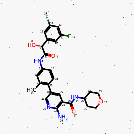 Cc1cc(NC(=O)[C@@H](O)c2cc(F)cc(F)c2)ccc1-c1cnc(N)c(C(=O)NC2CCOCC2)c1